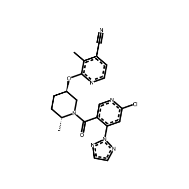 Cc1c(C#N)ccnc1O[C@@H]1CC[C@@H](C)N(C(=O)c2cnc(Cl)cc2-n2nccn2)C1